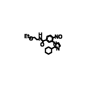 CCOCCNC(=O)c1ccc(N=O)c(-n2ccnc2C2CCCCC2)c1